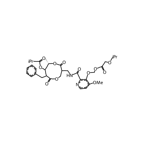 COc1ccnc(C(=O)NCC2COC(=O)C(Cc3ccccc3)C(OC(=O)C(C)C)[C@H](C)OC2=O)c1OCOC(=O)COC(C)C